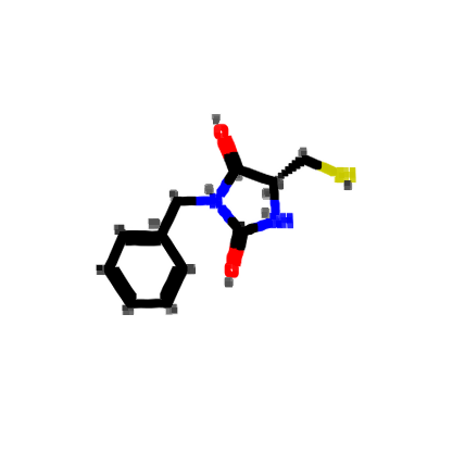 O=C1N[C@@H](CS)C(=O)N1Cc1ccccc1